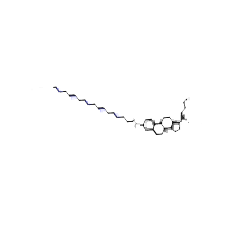 CCCCC/C=C/C/C=C/C/C=C/C/C=C/C/C=C/CCC(=O)O[C@H]1CC[C@@]2(C)C(=CC[C@H]3[C@@H]4CC[C@H]([C@H](C)CCCC(C)C)[C@@]4(C)CC[C@@H]32)C1